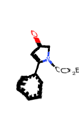 CCOC(=O)N1CC(=O)C=C1c1ccccc1